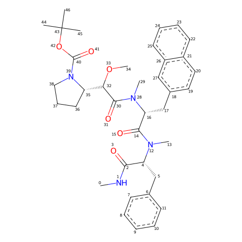 CNC(=O)[C@@H](Cc1ccccc1)N(C)C(=O)[C@@H](Cc1ccc2ccccc2c1)N(C)C(=O)C(OC)[C@@H]1CCCN1C(=O)OC(C)(C)C